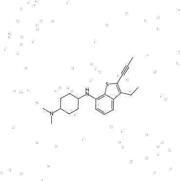 CC#Cc1sc2c(NC3CCC(N(C)C)CC3)cccc2c1CC